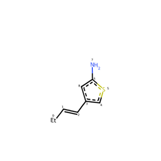 CC/C=C/c1csc(N)c1